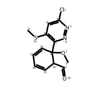 COC1(c2nnc(Cl)cc2SC)C=CC=CC1C=O